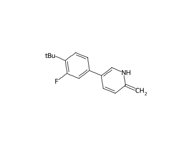 C=C1C=CC(c2ccc(C(C)(C)C)c(F)c2)=CN1